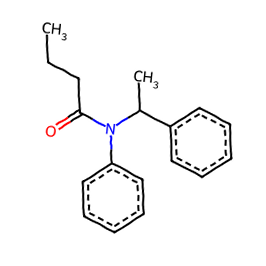 CCCC(=O)N(c1ccccc1)C(C)c1ccccc1